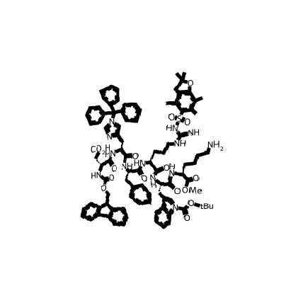 COC(=O)[C@H](CCCCN)NC(=O)[C@H](Cc1cn(C(=O)OC(C)(C)C)c2ccccc12)NC(=O)[C@H](CCCNC(=N)NS(=O)(=O)c1c(C)c(C)c2c(c1C)CC(C)(C)O2)NC(=O)[C@@H](Cc1ccccc1)NC(=O)[C@H](Cc1cn(C(c2ccccc2)(c2ccccc2)c2ccccc2)cn1)NC(=O)[C@@H](CC(=O)O)NC(=O)OCC1c2ccccc2-c2ccccc21